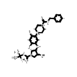 CC(C)(C)OC(=O)N1CC(O)C(Oc2cc(N3CCN(C(=O)OCc4ccccc4)CC3)c(F)cc2F)C1